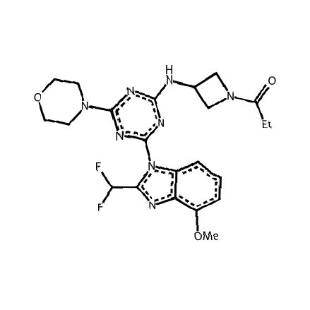 CCC(=O)N1CC(Nc2nc(N3CCOCC3)nc(-n3c(C(F)F)nc4c(OC)cccc43)n2)C1